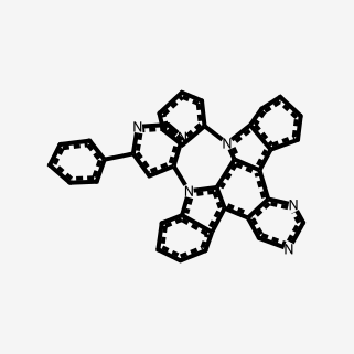 c1ccc(-c2cc(-n3c4ccccc4c4c5cncnc5c5c6ccccc6n(-c6ccccc6)c5c43)ncn2)cc1